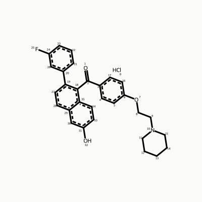 Cl.O=C(c1ccc(OCCN2CCCCC2)cc1)c1c(-c2cccc(F)c2)ccc2cc(O)ccc12